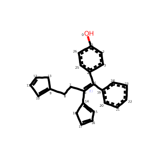 Oc1ccc(/C(=C(\CCC2=CC=CC2)C2=CC=CC2)c2ccccc2)cc1